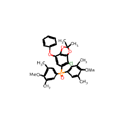 COc1c(C)cc(P(=O)(c2cc(C)c(OC)c(C)c2)c2cc(Oc3ccccc3)c3c(c2Cl)OC(C)(C)O3)cc1C